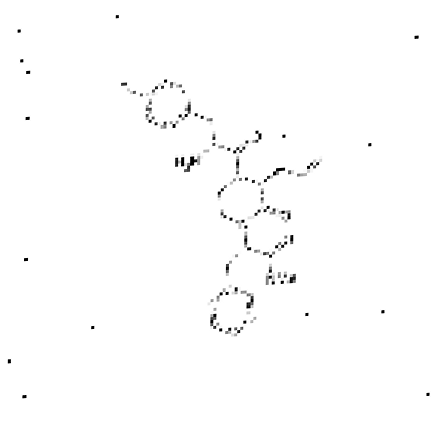 C=CC[C@H]1C(=O)N([C@@H](Cc2ccccc2)C(=O)NC)CCN1C(=O)[C@H](N)Cc1ccc(F)cc1